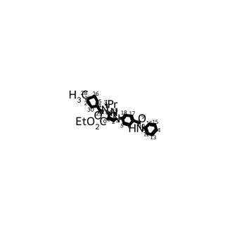 CCOC(=O)c1cn(-c2ccc(C(=O)Nc3ccccc3)cc2)nc1N(C(=O)C1CCC(C)CC1)C(C)C